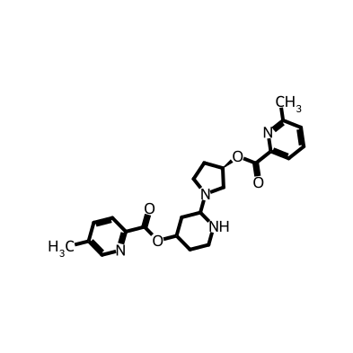 Cc1ccc(C(=O)OC2CCNC(N3CC[C@@H](OC(=O)c4cccc(C)n4)C3)C2)nc1